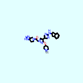 CCN1CCC(Oc2nn(CC(=O)N3CCc4[nH]nnc4C3)cc2-c2cnc(NC3Cc4ccccc4C3)nc2)CC1